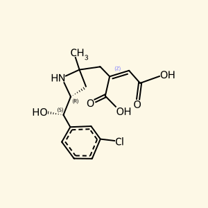 CC1(C/C(=C/C(=O)O)C(=O)O)C[C@H]([C@@H](O)c2cccc(Cl)c2)N1